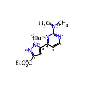 CCOC(=O)c1cc(-c2ccnc(N(C)C)n2)n(C(C)(C)C)n1